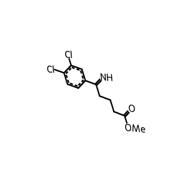 COC(=O)CCCC(=N)c1ccc(Cl)c(Cl)c1